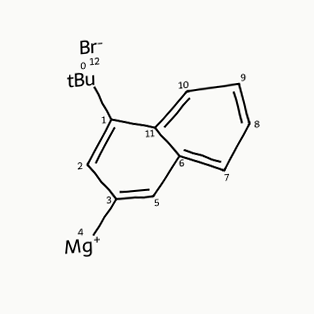 CC(C)(C)c1c[c]([Mg+])cc2ccccc12.[Br-]